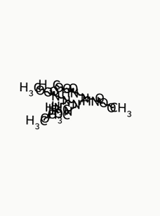 COCCOCC(=O)NCCCN(CCCNC(=O)COCCOC)CCCN(CCCN(C)C)CCCN(CCCNC(=O)COCCOC)CCCNC(=O)COCCOC